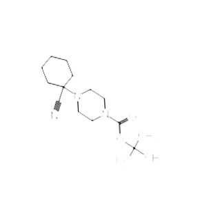 CC(C)(C)OC(=O)N1CCN(C2(C#N)CCCCC2)CC1